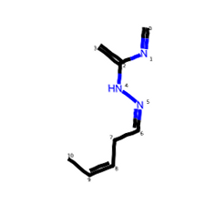 C=NC(=C)N/N=C\C/C=C\C